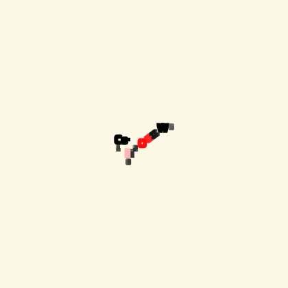 [B].[Co].[O]=[W]